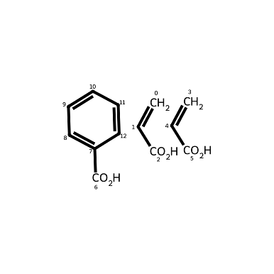 C=CC(=O)O.C=CC(=O)O.O=C(O)c1ccccc1